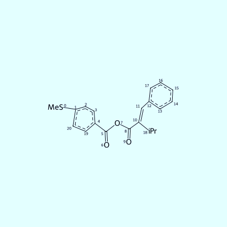 CSc1ccc(C(=O)OC(=O)C(=Cc2ccccc2)C(C)C)cc1